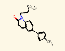 CCOC(=O)CCN1C(=O)CCc2cc(-c3ccc(C(F)(F)F)cc3)ccc21